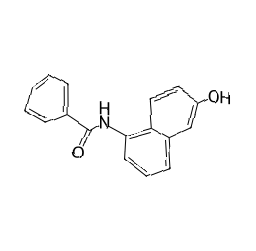 O=C(Nc1cccc2cc(O)ccc12)c1ccccc1